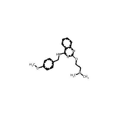 COc1ccc(CNc2nc(OCCN(C)C)nc3ccccc23)cc1